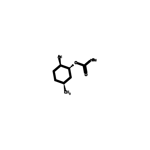 CCCCC(=O)O[C@@H]1C[C@H](C)CC[C@H]1C(C)=O